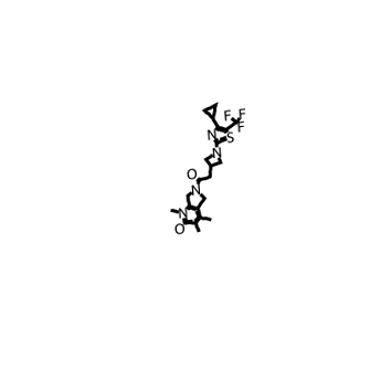 Cc1c2c(n(C)c(=O)c1C)CN(C(=O)CC1CN(c3nc(C4CC4)c(C(F)(F)F)s3)C1)C2